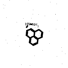 C1=Cc2cccc3cccc(c23)C1.CNN